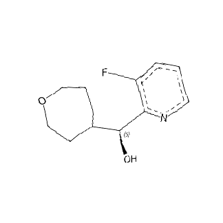 O[C@H](c1ncccc1F)C1CCOCC1